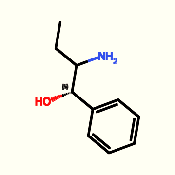 CCC(N)[C@@H](O)c1ccccc1